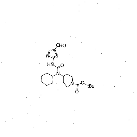 CC(C)(C)OC(=O)N1CCC(N(C(=O)Nc2ncc(C=O)s2)C2CCCCC2)CC1